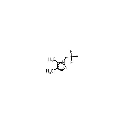 Cc1cnn(CC(F)(F)F)c1C